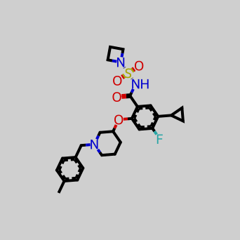 Cc1ccc(CN2CCCC(Oc3cc(F)c(C4CC4)cc3C(=O)NS(=O)(=O)N3CCC3)C2)cc1